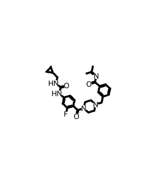 CC(C)=NC(=O)c1cccc(CN2CCN(C(=O)c3ccc(NC(=O)NCC4CC4)cc3F)CC2)c1